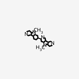 Cn1c2ccncc2c2ccc(-c3cc4c(cn3)c3cnccc3n4C)cc21